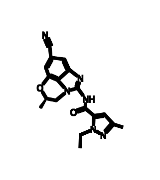 CCn1nc(C)cc1C(=O)Nc1nc2cc(C#N)cc3c2n1C[C@@H](C)O3